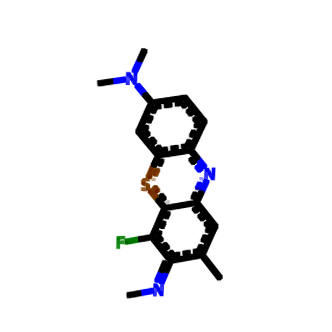 CN=c1c(C)cc2nc3ccc(N(C)C)cc3sc-2c1F